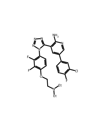 CCN(CC)CCOc1ccc(-n2nnnc2-c2cc(-c3ccc(F)c(Cl)c3)cnc2N)c(F)c1F